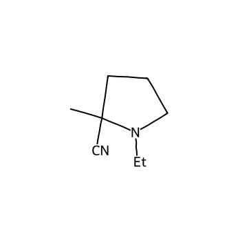 CCN1CCCC1(C)C#N